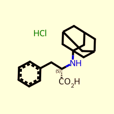 Cl.O=C(O)[C@H](Cc1ccccc1)NC12CC3CC(CC(C3)C1)C2